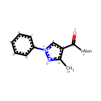 CCCCCCCCCC(=O)c1cn(-c2ccccc2)nc1C